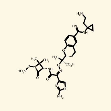 CC1(C)[C@H](NC(=O)/C(=N\O[C@](C)(C(=O)O)[C@H]2CCc3cc(C(=N)NC4(CCN)CC4)ccc3O2)c2csc(N)n2)C(=O)N1OS(=O)(=O)O